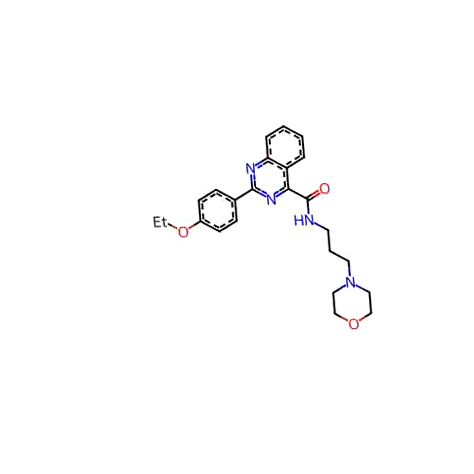 CCOc1ccc(-c2nc(C(=O)NCCCN3CCOCC3)c3ccccc3n2)cc1